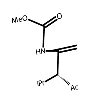 C=C(NC(=O)OC)[C@H](C(C)=O)C(C)C